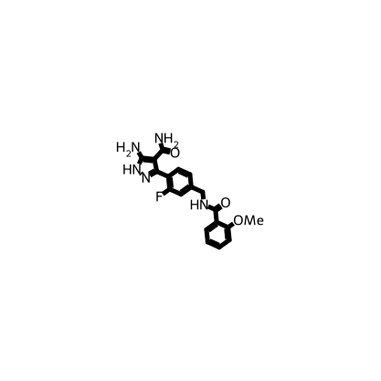 COc1ccccc1C(=O)NCc1ccc(-c2n[nH]c(N)c2C(N)=O)c(F)c1